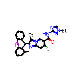 CCc1c(C(c2ccccc2C)c2ccccc2P)nc2cc(Cl)c(C(=O)Nc3ncn(CC)n3)cn12